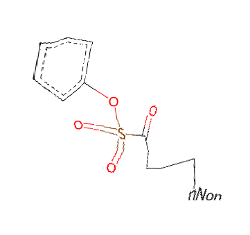 CCCCCCCCCCCC(=O)S(=O)(=O)Oc1ccccc1